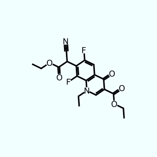 CCOC(=O)c1cn(CC)c2c(F)c(C(C#N)C(=O)OCC)c(F)cc2c1=O